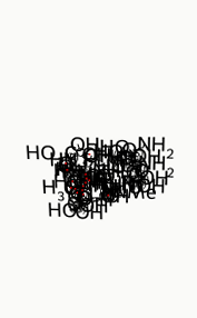 CN[C@H](CC(C)C)C(=O)N[C@H]1C(=O)N[C@@H](CC(N)=O)C(=O)N[C@H]2C(=O)N[C@H]3C(=O)N[C@H](C(=O)N[C@@H](C(=O)O)c4cc(O)cc(O)c4-c4cc3ccc4O)[C@H](O)c3ccc(c(Cl)c3)Oc3cc2cc(c3O[C@@H]2O[C@H](CO)[C@@H](O)[C@H](O)[C@H]2O[C@H]2C[C@](C)(N)C(O)[C@H](C)O2)Oc2ccc(cc2Cl)[C@H]1O.NCC[C@H](O)C(=O)N[C@@H]1C[C@H](N)[C@@H](O[C@H]2O[C@H](CN)[C@@H](O)[C@H](O)[C@H]2O)[C@H](O)[C@H]1O[C@H]1O[C@H](CO)[C@@H](O)[C@H](N)[C@H]1O